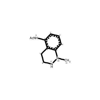 CC(=O)Nc1cccc2c1CCNN2C